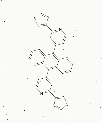 c1ccc2c(-c3ccnc(-c4cscn4)c3)c3ccccc3c(-c3ccnc(-c4cscn4)c3)c2c1